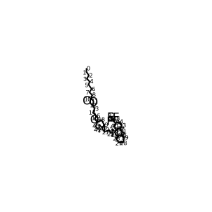 CCCCCCCCCC(=O)OCCCCOC1CCN(CCCN2c3ccccc3Sc3ccc(C(F)(F)F)cc32)CC1